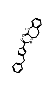 O=C(N[C@H]1CCc2ccccc2NC1=O)c1cc(Cc2ccccc2)cs1